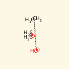 C=COC(C)=O.CC(C)CCCCCCCCCCCCCCCCCCCCCCCCCCC(=O)O